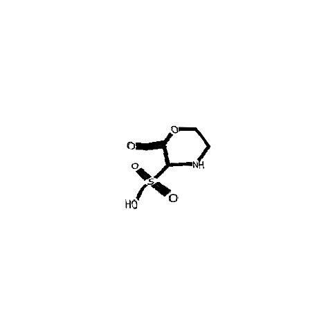 O=C1OCCNC1S(=O)(=O)O